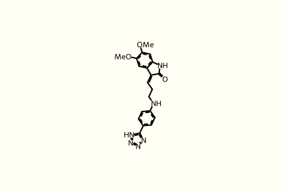 COc1cc2c(cc1OC)C(=CCCNc1ccc(-c3nnn[nH]3)cc1)C(=O)N2